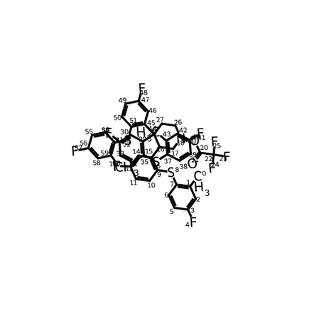 Cc1cc(F)ccc1Sc1ccc(F)cc1C1CN(OC(=O)C(F)(F)F)CCC1(c1cc(F)ccc1Sc1ccc(F)cc1C)c1cc(F)ccc1Sc1ccc(F)cc1C